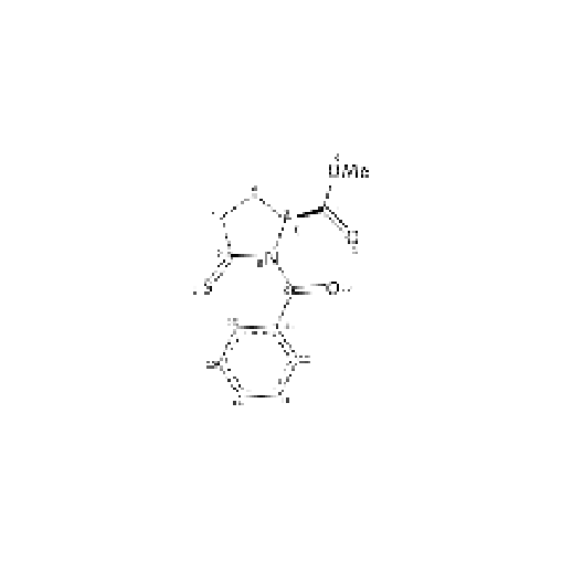 COC(=O)[C@@H]1CCC(=S)N1C(=O)c1ccccc1